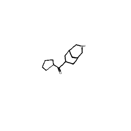 O=C(C1CCCC1)C1CC2CNCC(C2)C1